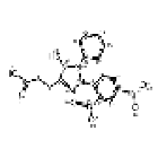 O=C(O)CCC1=NN(c2ccc([N+](=O)[O-])cc2[N+](=O)[O-])N(c2ccccc2)N1S